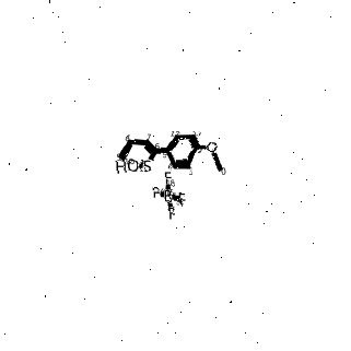 COc1ccc(C2=CC=C[OH+]S2)cc1.F[B-](F)(F)F